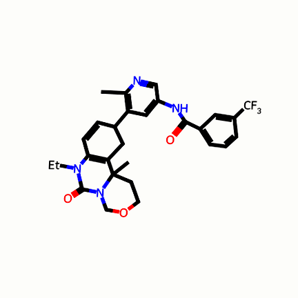 CCN1C(=O)N2COCCC2(C)C2=C1C=CC(c1cc(NC(=O)c3cccc(C(F)(F)F)c3)cnc1C)C2